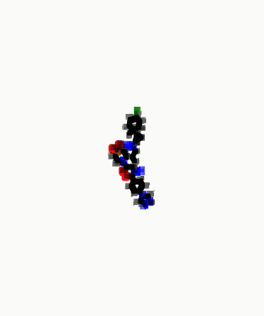 CC1([C@@H]2C[C@H]2NCCC[C@H](NC(=O)c2ccc(-n3cnnc3)cc2)C(=O)N2CCS(=O)(=O)CC2)C=CC(F)=CC1